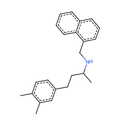 Cc1ccc(CCC(C)NCc2cccc3ccccc23)cc1C